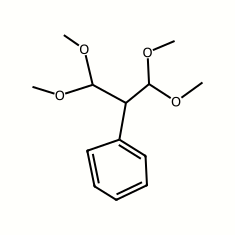 COC(OC)C(c1ccccc1)C(OC)OC